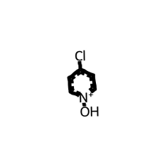 O[n+]1ccc(Cl)cc1